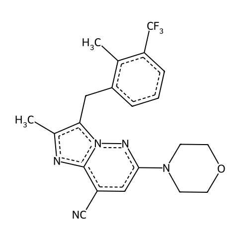 Cc1nc2c(C#N)cc(N3CCOCC3)nn2c1Cc1cccc(C(F)(F)F)c1C